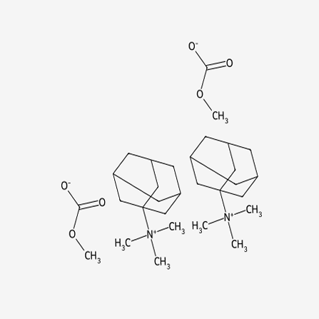 COC(=O)[O-].COC(=O)[O-].C[N+](C)(C)C12CC3CC(CC(C3)C1)C2.C[N+](C)(C)C12CC3CC(CC(C3)C1)C2